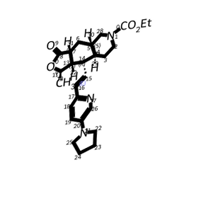 CCOC(=O)N1CC[C@@H]2[C@H](C[C@H]3C(=O)O[C@H](C)[C@H]3[C@H]2/C=C/c2ccc(N3CCCC3)cn2)C1